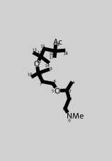 CNCCC(C)OCCC(C)(C)OC(C)(C)CC(C)(C)C(C)=O